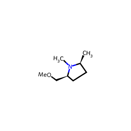 COC[C@@H]1CC[C@H](C)N1C